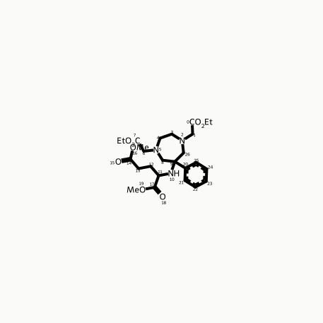 CCOC(=O)CN1CCN(CC(=O)OCC)CC(NC(CCC(=O)OC)C(=O)OC)(c2ccccc2)C1